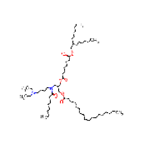 CCCCCCCC/C=C\CCCCCCCC(=O)OCC(COC(=O)CCCCCCC(=O)OCC(CCCCCC)CCCCCC)CN(CCCCN(CC)CC)C(=O)CCCCCCC